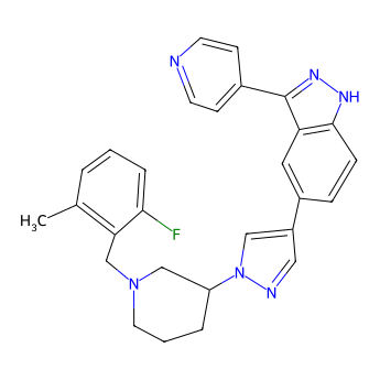 Cc1cccc(F)c1CN1CCCC(n2cc(-c3ccc4[nH]nc(-c5ccncc5)c4c3)cn2)C1